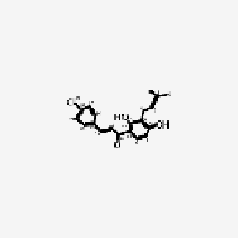 CC(C)=CCc1c(O)ccc(C(=O)C=Cc2ccc(Cl)cc2)c1O